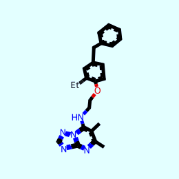 CCc1cc(Cc2ccccc2)ccc1OCCNc1c(C)c(C)nc2ncnn12